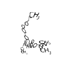 CCCCOCCOc1ccc(-c2ccc3c(c2)C=C(C(=O)Nc2ccc(-c4c(C)ncn4CC)cc2)CCN3CC2CCN(C)CC2)cc1